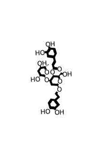 C[C@@H]1O[C@@H](O[C@@H]2C[C@H](OCCc3ccc(O)c(O)c3)O[C@H](CO)[C@H]2OC(=O)/C=C/c2ccc(O)c(O)c2)[C@H](O)C[C@H]1O